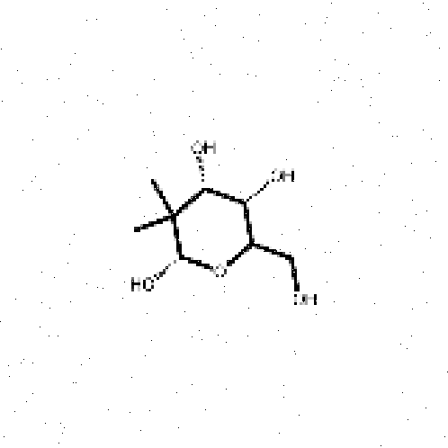 CC1(C)[C@H](O)[C@H](O)C(CO)O[C@@H]1O